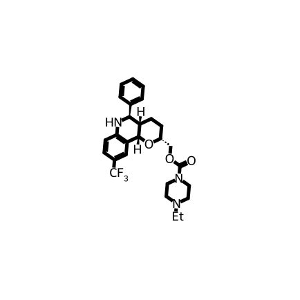 CCN1CCN(C(=O)OC[C@H]2CC[C@@H]3[C@H](O2)c2cc(C(F)(F)F)ccc2N[C@H]3c2ccccc2)CC1